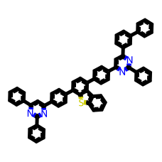 c1ccc(-c2cccc(-c3cc(-c4ccc(-c5ccc(-c6ccc(-c7cc(-c8ccccc8)nc(-c8ccccc8)n7)cc6)c6sc7ccccc7c56)cc4)nc(-c4ccccc4)n3)c2)cc1